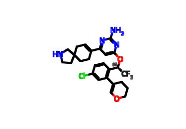 Nc1nc(O[C@H](c2ccc(Cl)cc2C2=COCCC2)C(F)(F)F)cc(C2=CCC3(CCNC3)CC2)n1